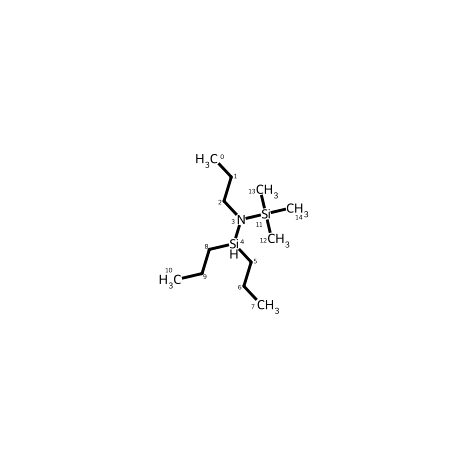 CCCN([SiH](CCC)CCC)[Si](C)(C)C